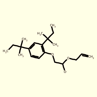 C=CCOC([O])COc1ccc(C(C)(C)CC)cc1C(C)(C)CC